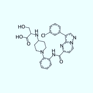 O=C(Nc1ccccc1N1CCC(NC(CO)C(=O)O)CC1)c1ccn2ncc(-c3cccc(Cl)c3)c2n1